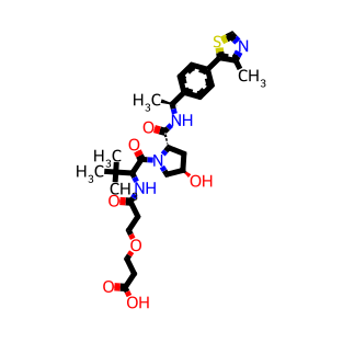 Cc1ncsc1-c1ccc([C@H](C)NC(=O)[C@@H]2C[C@@H](O)CN2C(=O)C(NC(=O)CCOCCC(=O)O)C(C)(C)C)cc1